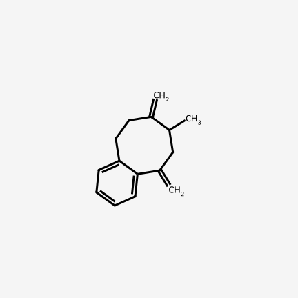 C=C1CC(C)C(=C)CCc2ccccc21